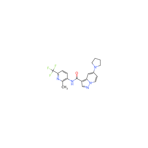 Cc1nc(C(F)(F)F)ccc1NC(=O)c1cnn2ccc(N3CCCC3)cc12